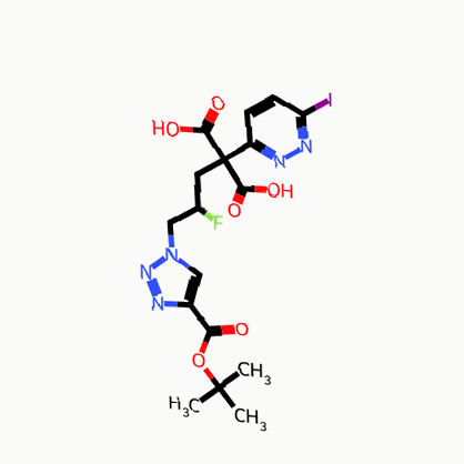 CC(C)(C)OC(=O)c1cn(CC(F)CC(C(=O)O)(C(=O)O)c2ccc(I)nn2)nn1